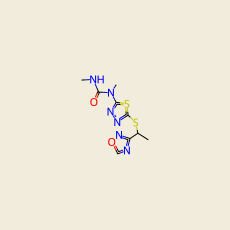 CNC(=O)N(C)c1nnc(SC(C)c2ncon2)s1